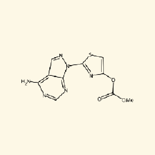 COC(=O)Oc1csc(-n2ncc3c(N)ncnc32)n1